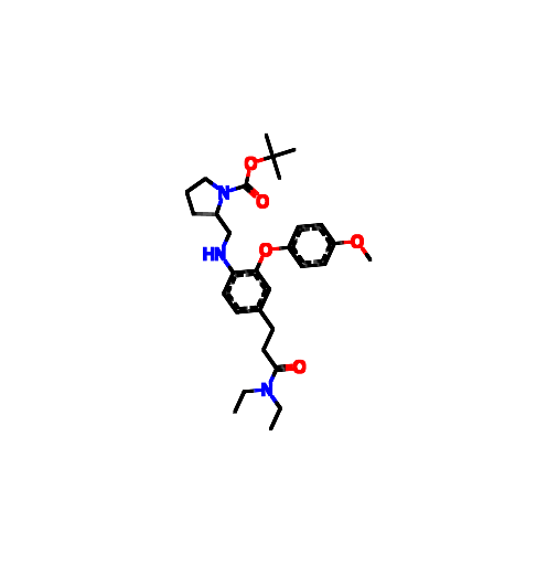 CCN(CC)C(=O)CCc1ccc(NCC2CCCN2C(=O)OC(C)(C)C)c(Oc2ccc(OC)cc2)c1